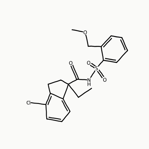 CCC1(C(=O)NS(=O)(=O)c2ccccc2COC)CCc2c(Cl)cccc21